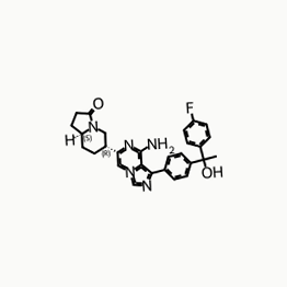 CC(O)(c1ccc(F)cc1)c1ccc(-c2ncn3cc([C@@H]4CC[C@H]5CCC(=O)N5C4)nc(N)c23)cc1